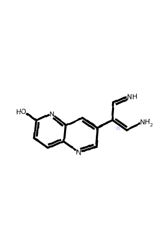 N=C/C(=C\N)c1cnc2ccc(O)nc2c1